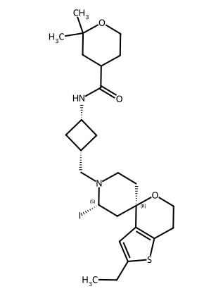 CCc1cc2c(s1)CCO[C@@]21CCN(C[C@H]2C[C@@H](NC(=O)C3CCOC(C)(C)C3)C2)[C@@H](I)C1